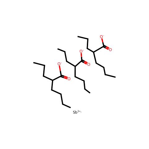 CCCCC(CCC)C(=O)[O-].CCCCC(CCC)C(=O)[O-].CCCCC(CCC)C(=O)[O-].[Sb+3]